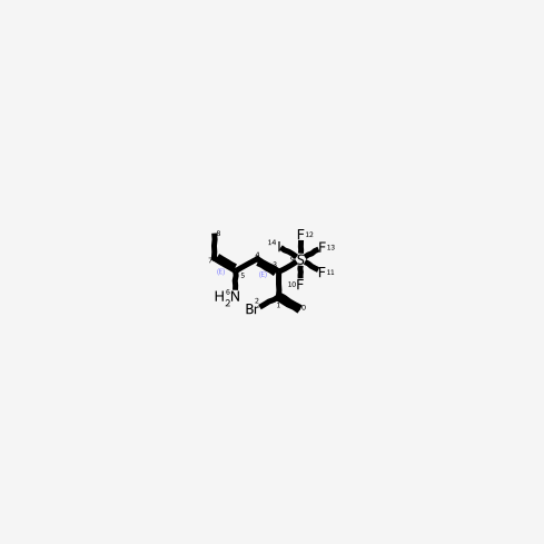 C=C(Br)/C(=C\C(N)=C/C)S(F)(F)(F)(F)I